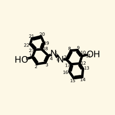 Oc1ccc(N=Nc2ccc(O)c3ccccc23)c2ccccc12